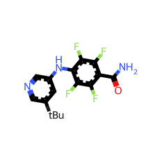 CC(C)(C)c1cncc(Nc2c(F)c(F)c(C(N)=O)c(F)c2F)c1